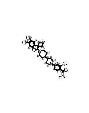 CN(C)C(=O)c1ccc(N2CCC(C3CCN(C(=O)C4(c5ccc(Cl)c(Cl)c5)CCC4)CC3)CC2)cc1Cl